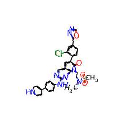 CN(CCn1c(=O)c(-c2ccc(-c3nnco3)cc2Cl)cc2cnc(Nc3ccc(C4=CCNC=C4)cc3)nc21)S(C)(=O)=O